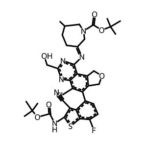 CC1CC/C(=N\c2nc(CO)nc3c(Cl)c(-c4ccc(F)c5sc(NC(=O)OC(C)(C)C)c(C#N)c45)c4c(c23)COC4)CN(C(=O)OC(C)(C)C)C1